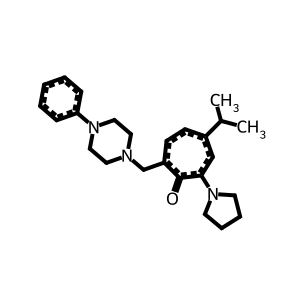 CC(C)c1ccc(CN2CCN(c3ccccc3)CC2)c(=O)c(N2CCCC2)c1